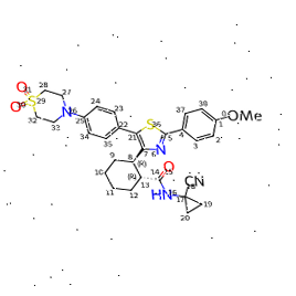 COc1ccc(-c2nc([C@@H]3CCCC[C@H]3C(=O)NC3(C#N)CC3)c(-c3ccc(N4CCS(=O)(=O)CC4)cc3)s2)cc1